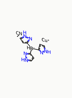 CC#N.[Cu+].c1cc([BH-](c2cc[nH]n2)c2cc[nH]n2)n[nH]1